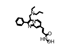 CCCN(CC)Cc1c(-c2ccccc2)nc2cc(C=CC(=O)NO)ccn12